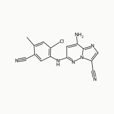 Cc1cc(Cl)c(Nc2cc(N)c3ncc(C#N)n3n2)cc1C#N